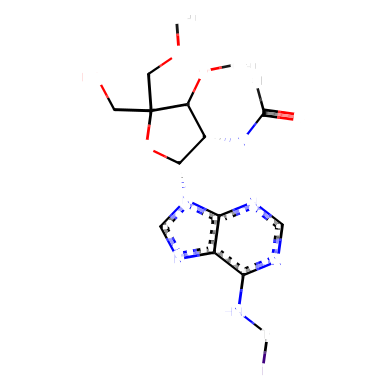 CCCCOCC1(CO)O[C@@H](n2cnc3c(NBI)ncnc32)[C@@H](NC(=O)C(F)(F)F)C1OCCCC